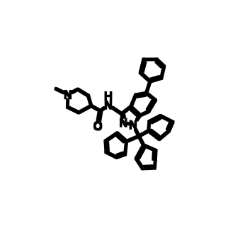 CN1CCC(C(=O)Nc2nn(C(c3ccccc3)(c3ccccc3)c3ccccc3)c3ccc(-c4ccccc4)cc23)CC1